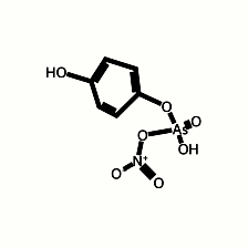 O=[N+]([O-])O[As](=O)(O)Oc1ccc(O)cc1